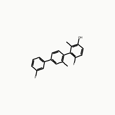 Cc1cc(-c2cccc(F)c2)ccc1-c1c(F)ccc(O)c1C